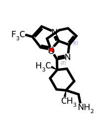 C[C@]1(CN)CC[C@@](C)(/C2=N/C(c3ncc(C(F)(F)F)cn3)=C/CCCO2)CC1